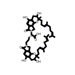 CC(C)=CCC/C(C)=C/CCC1(C)Oc2c(c(O)cc3c2CN(CCC[C@@H](C(=O)O)N2Cc4c(cc(O)c5c4OC(C)(CC/C=C(\C)CCC=C(C)C)C(O)C5)C2=O)C3=O)CC1O